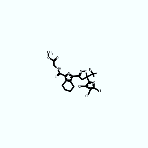 COC(=O)CNC(=O)c1sc(C2=NOC(c3sc(Cl)c(Cl)c3Cl)(C(F)(F)F)C2)c2c1CCCC2